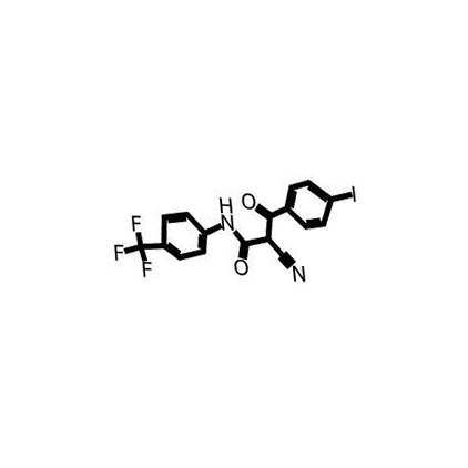 N#CC(C(=O)Nc1ccc(C(F)(F)F)cc1)C(=O)c1ccc(I)cc1